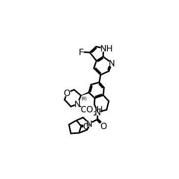 O=C1C2CCC1CN(C(=O)N1CCc3cc(-c4cnc5[nH]cc(F)c5c4)cc([C@@H]4COCCN4C(=O)O)c3C1)C2